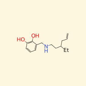 C=CCC(CC)CCNCc1cccc(O)c1O